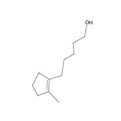 CC1=C(CCCCCO)CCC1